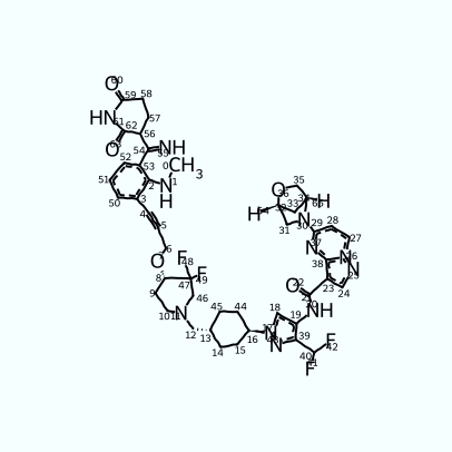 CNc1c(C#CCO[C@H]2CCN(C[C@H]3CC[C@H](n4cc(NC(=O)c5cnn6ccc(N7C[C@H]8C[C@@H]7CO8)nc56)c(C(F)F)n4)CC3)CC2(F)F)cccc1C(=N)C1CCC(=O)NC1=O